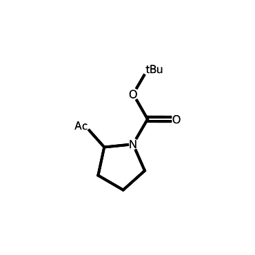 CC(=O)C1CCCN1C(=O)OC(C)(C)C